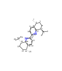 CC(C)[C@@H]1CC[C@@H](C)c2ccc(-c3ccc4c(n3)[C@@H](C(C)C)CC[C@H]4C)nc21